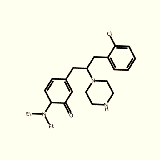 CCN(CC)C1C=CC(CC(Cc2ccccc2Cl)N2CCNCC2)=CC1=O